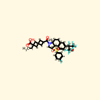 CCC1(C(=O)O)CC2(CC(C(=O)N3CC[C@@]4(S(=O)(=O)c5ccc(F)cc5)c5ccc(C(F)(C(F)(F)F)C(F)(F)F)cc5CC[C@@H]34)C2)C1